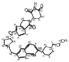 COC[C@H]1CCC[C@@H](c2ccc3cc(CN4CC[C@H](Oc5ccc6c(c5)CN(C5CCC(=O)NC5=O)C6=O)C4)ccc3n2)C1